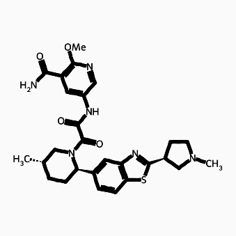 COc1ncc(NC(=O)C(=O)N2C[C@@H](C)CC[C@@H]2c2ccc3sc([C@H]4CCN(C)C4)nc3c2)cc1C(N)=O